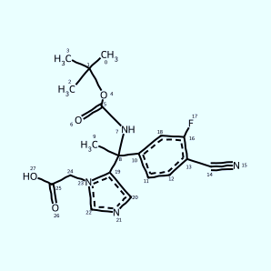 CC(C)(C)OC(=O)NC(C)(c1ccc(C#N)c(F)c1)c1cncn1CC(=O)O